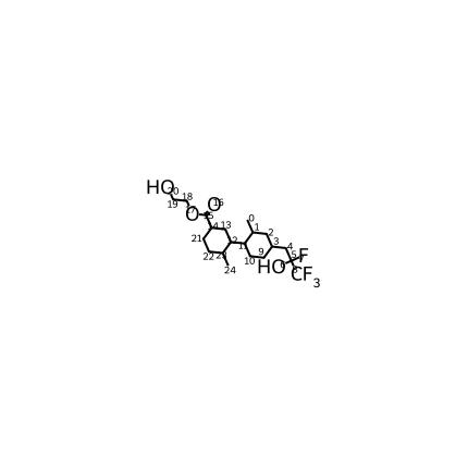 CC1CC(CC(O)(F)C(F)(F)F)CCC1C1CC(C(=O)OCCO)CCC1C